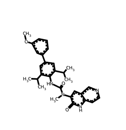 COc1cccc(-c2cc(C(C)C)c(NC(=O)N(C)c3cc4cnccc4[nH]c3=O)c(C(C)C)c2)c1